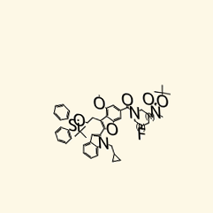 COc1cc(C(=O)N2C[C@H](F)C[C@@H](N(C)C(=O)OC(C)(C)C)C2)cc2oc(-c3cc4ccccc4n3CC3CC3)c(CCO[Si](c3ccccc3)(c3ccccc3)C(C)(C)C)c12